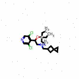 CC[Si](CC)(CC)OC(CNCC1CC2(CC2)C1)c1c(Cl)cncc1Cl